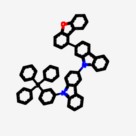 c1ccc([Si](c2ccccc2)(c2ccccc2)c2cccc(-n3c4ccccc4c4cc(-n5c6ccccc6c6ccc(-c7cccc8oc9ccccc9c78)cc65)ccc43)c2)cc1